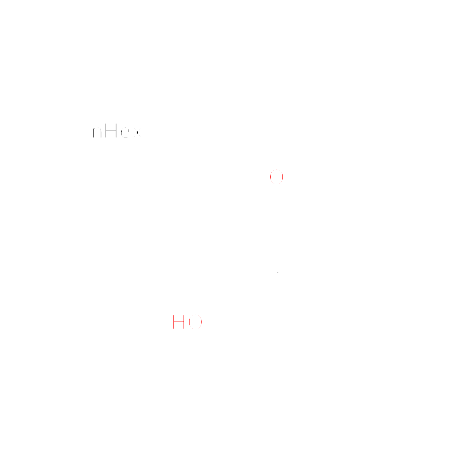 CCCCCCCCOC(C)C(C)(C)CO